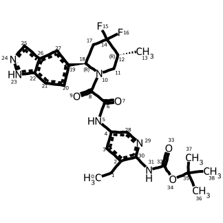 CCc1cc(NC(=O)C(=O)N2C[C@@H](C)C(F)(F)C[C@@H]2c2ccc3[nH]ncc3c2)cnc1NC(=O)OC(C)(C)C